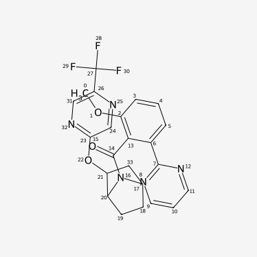 COc1cccc(-c2ncccn2)c1C(=O)N1C2CCC1C(Oc1cnc(C(F)(F)F)cn1)C2